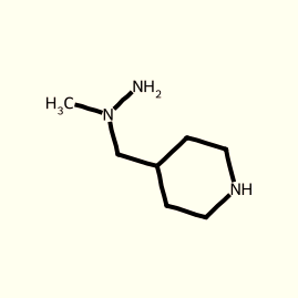 CN(N)CC1CCNCC1